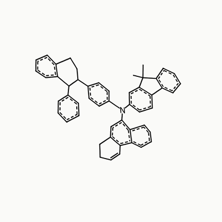 CC1(C)c2ccccc2-c2ccc(N(c3ccc(C4CCc5ccccc5C4c4ccccc4)cc3)c3cc4c(c5ccccc35)C=CCC4)cc21